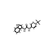 CC(C)(C)N1C=CC(NC(=O)Nc2c[nH]c3ccccc23)=CC1